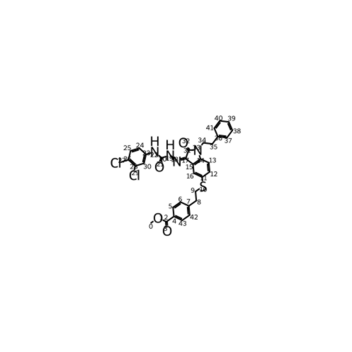 COC(=O)c1ccc(CCSc2ccc3c(c2)C(=NNC(=O)Nc2ccc(Cl)c(Cl)c2)C(=O)N3CCc2ccccc2)cc1